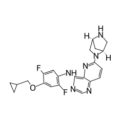 Fc1cc(OCC2CC2)c(F)cc1Nc1ncnc2ccc(N3C[C@@H]4C[C@H]3CN4)nc12